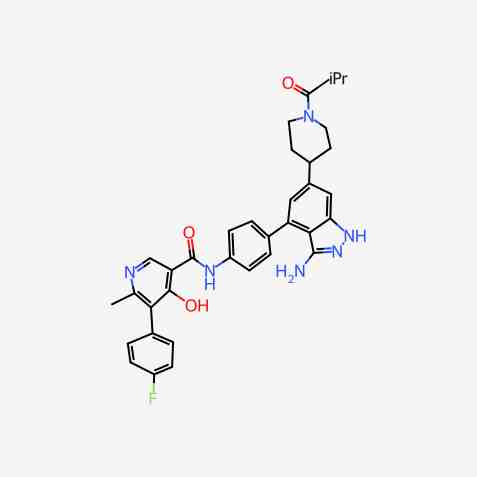 Cc1ncc(C(=O)Nc2ccc(-c3cc(C4CCN(C(=O)C(C)C)CC4)cc4[nH]nc(N)c34)cc2)c(O)c1-c1ccc(F)cc1